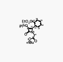 CCCCOC(=O)CN1C(=O)C(OC(C)C)=C1c1ccccc1C(=O)OCC